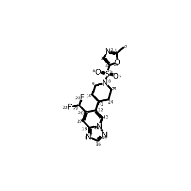 Cc1ncc(S(=O)(=O)N2CCC(c3cn4ncnc4cc3C(F)F)CC2)o1